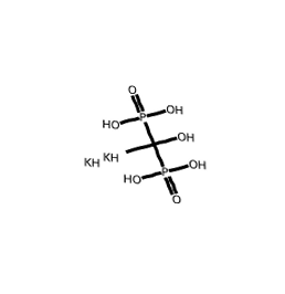 CC(O)(P(=O)(O)O)P(=O)(O)O.[KH].[KH]